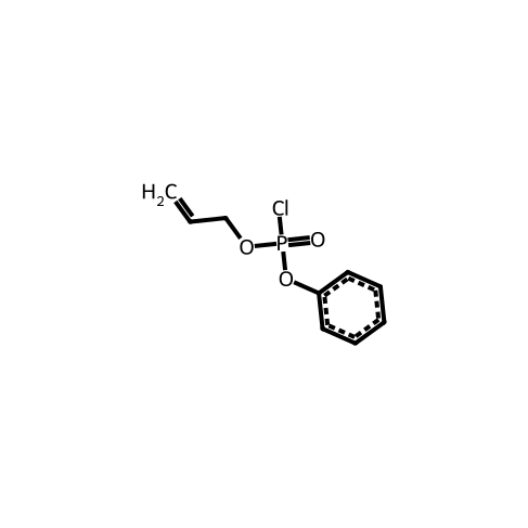 C=CCOP(=O)(Cl)Oc1ccccc1